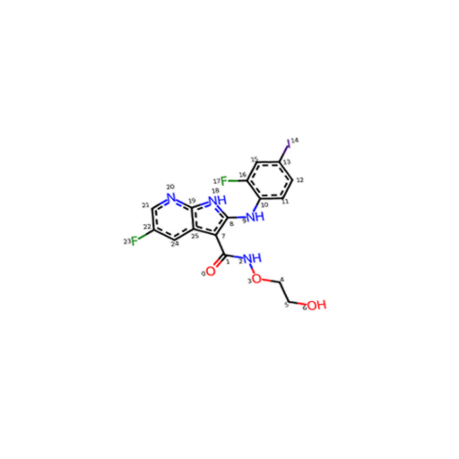 O=C(NOCCO)c1c(Nc2ccc(I)cc2F)[nH]c2ncc(F)cc12